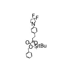 CC(C)(C)[Si](C)(C)O[C@H](CCc1ccc(N2CCC(F)(F)C2)cc1)C(=O)OCc1ccccc1